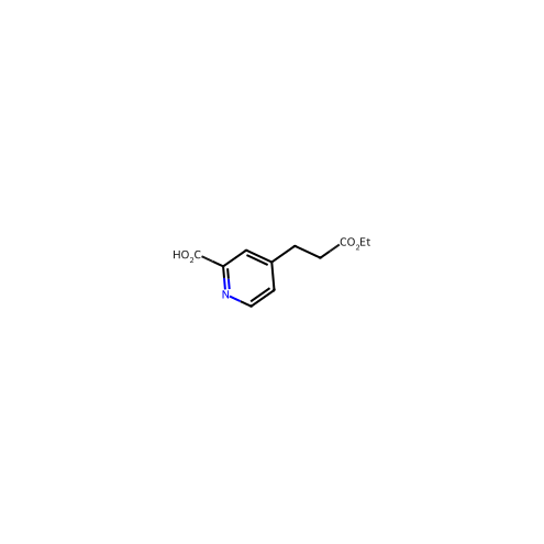 CCOC(=O)CCc1ccnc(C(=O)O)c1